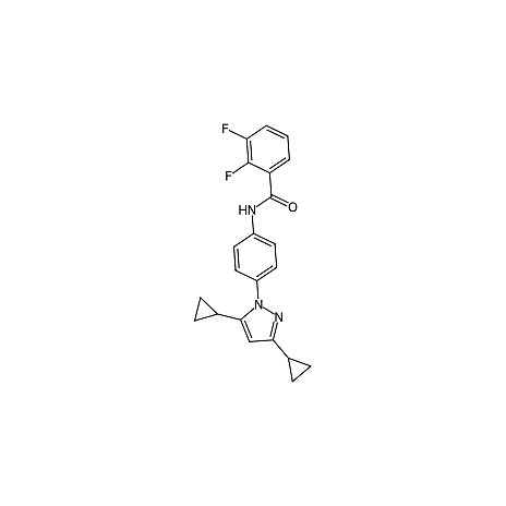 O=C(Nc1ccc(-n2nc(C3CC3)cc2C2CC2)cc1)c1cccc(F)c1F